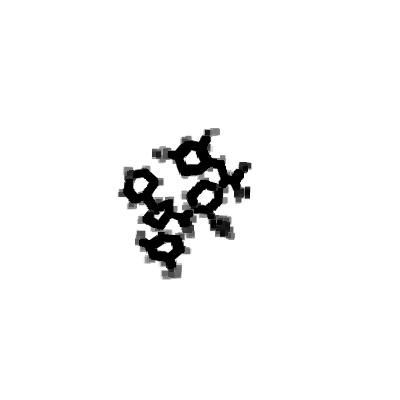 Cc1ccc(CC(C(=O)O)N2CCN(C(=O)[C@@H]3CN(C4CCOCC4)C[C@H]3c3ccc(Cl)cc3F)[C@@H](C)C2)c(F)c1.Cl.Cl